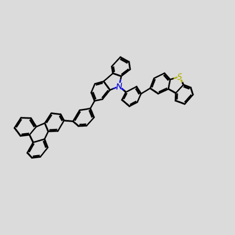 c1cc(-c2ccc3c4ccccc4c4ccccc4c3c2)cc(-c2ccc3c4ccccc4n(-c4cccc(-c5ccc6sc7ccccc7c6c5)c4)c3c2)c1